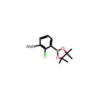 CNc1cccc(B2OC(C)(C)C(C)(C)O2)c1Cl